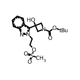 CC(C)(C)OC(=O)N1CC(O)(c2c3ccccc3nn2CCOS(C)(=O)=O)C1